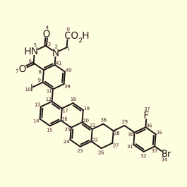 O=C(O)Cn1c(=O)[nH]c(=O)c2c(I)c(-c3cccc4c3ccc3c5c(ccc34)CCC(Cc3ccc(Br)cc3F)C5)ccc21